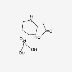 C1CCNCC1.CC(=O)O.O=[PH](O)O